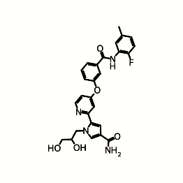 Cc1ccc(F)c(NC(=O)c2cccc(Oc3ccnc(-c4cc(C(N)=O)cn4CC(O)CO)c3)c2)c1